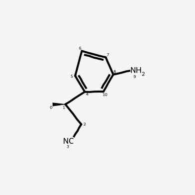 C[C@H](CC#N)c1cccc(N)c1